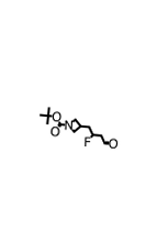 CC(C)(C)OC(=O)N1CC(CC(F)CC=O)C1